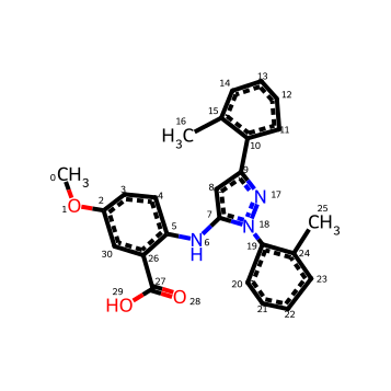 COc1ccc(Nc2cc(-c3ccccc3C)nn2-c2ccccc2C)c(C(=O)O)c1